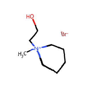 C[N+]1(CCO)CCCCC1.[Br-]